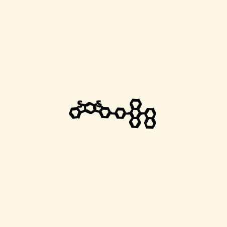 c1ccc2c(-c3c4ccccc4c(-c4ccc(-c5ccc6c(c5)sc5cc7sc8ccccc8c7cc56)cc4)c4ccccc34)cccc2c1